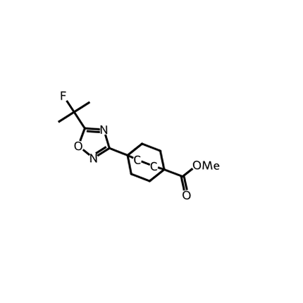 COC(=O)C12CCC(c3noc(C(C)(C)F)n3)(CC1)CC2